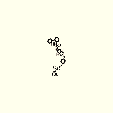 CC(C)(C)CCC(=O)OCCc1ccc(CN2C[C@H]3C[C@@H](OC(=O)Nc4ccccc4-c4ccccc4)C[C@H]3C2)cc1